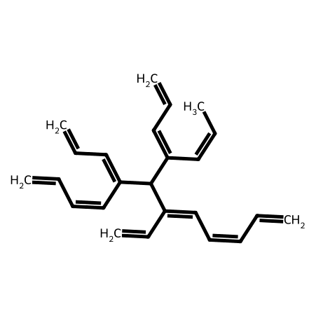 C=C/C=C\C=C(/C=C)C(C(/C=C\C)=C/C=C)C(/C=C\C=C)=C/C=C